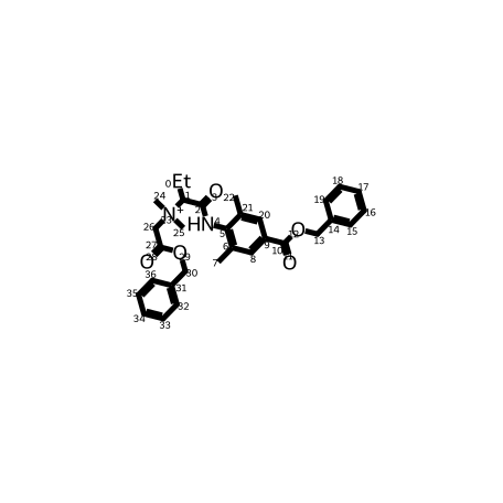 CCC(C(=O)Nc1c(C)cc(C(=O)OCc2ccccc2)cc1C)[N+](C)(C)CC(=O)OCc1ccccc1